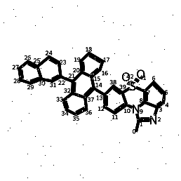 Cc1nc2cccc3c2n1-c1ccc(-c2c4ccccc4c(-c4ccc5ccccc5c4)c4ccccc24)cc1S3(=O)=O